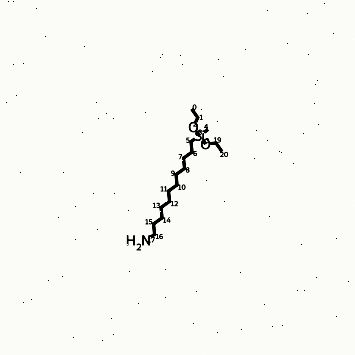 CCO[Si](C)(CCCCCCCCCCCCN)OCC